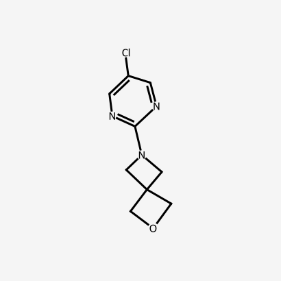 Clc1cnc(N2CC3(COC3)C2)nc1